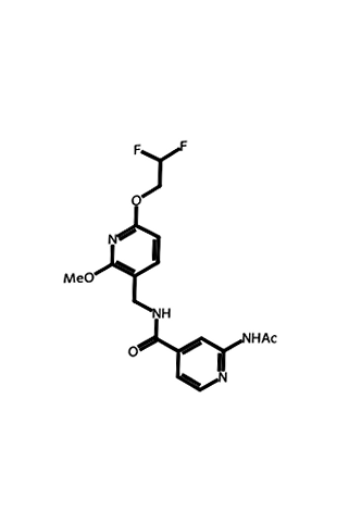 COc1nc(OCC(F)F)ccc1CNC(=O)c1ccnc(NC(C)=O)c1